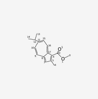 COC(=O)c1c(C)cc2ccc(C(C)C)ccc1-2